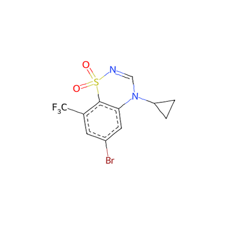 O=S1(=O)N=CN(C2CC2)c2cc(Br)cc(C(F)(F)F)c21